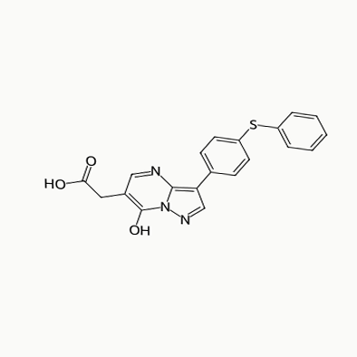 O=C(O)Cc1cnc2c(-c3ccc(Sc4ccccc4)cc3)cnn2c1O